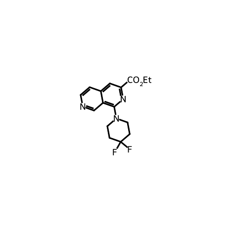 CCOC(=O)c1cc2ccncc2c(N2CCC(F)(F)CC2)n1